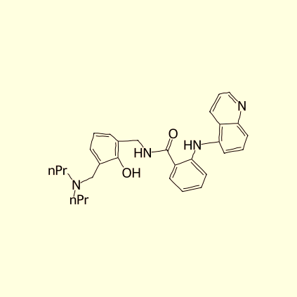 CCCN(CCC)Cc1cccc(CNC(=O)c2ccccc2Nc2cccc3ncccc23)c1O